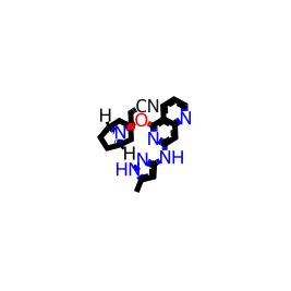 Cc1cc(Nc2cc3ncccc3c(O[C@@H]3C[C@H]4CC[C@@H](C3)N4CCC#N)n2)n[nH]1